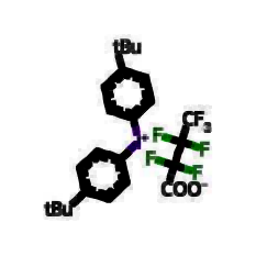 CC(C)(C)c1ccc([I+]c2ccc(C(C)(C)C)cc2)cc1.O=C([O-])C(F)(F)C(F)(F)C(F)(F)F